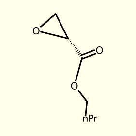 CCCCOC(=O)[C@H]1CO1